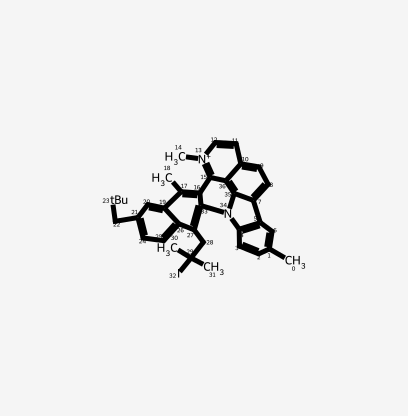 Cc1ccc2c(c1)c1ccc3cc[n+](C)c4c5c(C)c6cc(CC(C)(C)C)ccc6c(CC(C)(C)I)c5n2c1c34